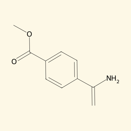 C=C(N)c1ccc(C(=O)OC)cc1